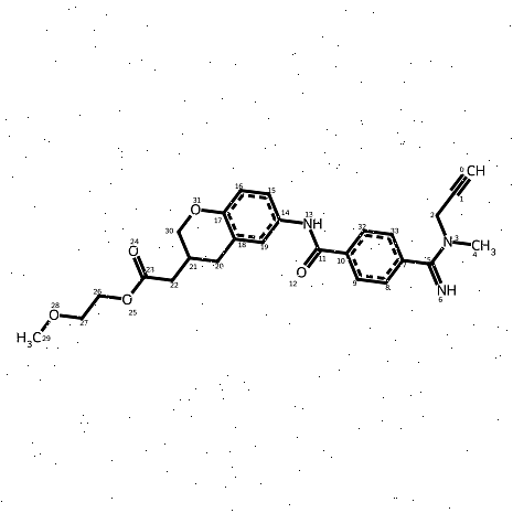 C#CCN(C)C(=N)c1ccc(C(=O)Nc2ccc3c(c2)CC(CC(=O)OCCOC)CO3)cc1